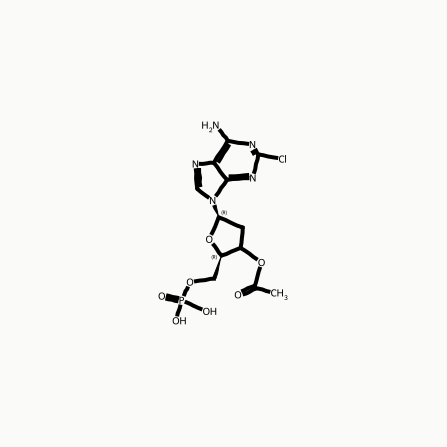 CC(=O)OC1C[C@H](n2cnc3c(N)nc(Cl)nc32)O[C@@H]1COP(=O)(O)O